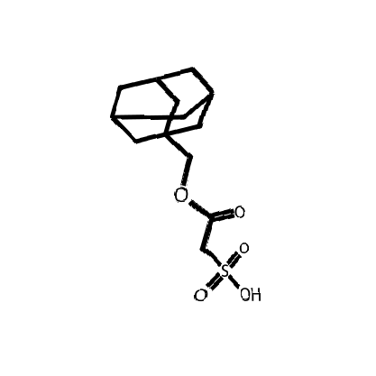 O=C(CS(=O)(=O)O)OCC12CC3CC(CC(C3)C1)C2